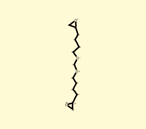 C(CCC1CO1)COCOCCCCC1CO1